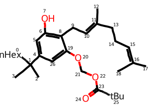 CCCCCCC(C)(C)c1cc(O)c(C/C=C(\C)CCC=C(C)C)c(OCOC(=O)C(C)(C)C)c1